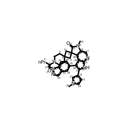 CCCC(=O)N1CCC2(CC1)CC1(C2)C(=O)N(C)c2cnc3[nH]c(-c4ccn(C)c4)c(-c4ccc5c(cnn5C)c4)c3c21